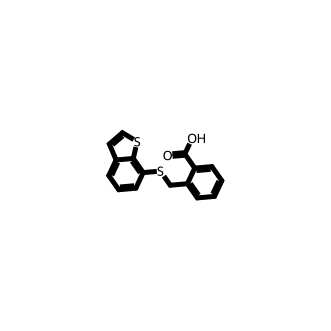 O=C(O)c1ccccc1CSc1cccc2ccsc12